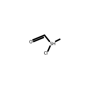 C[SH](Cl)C=O